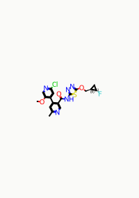 COc1cnc(Cl)cc1-c1cc(C)ncc1C(=O)Nc1nnc(OC[C@H]2C[C@@H]2F)s1